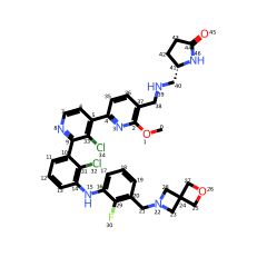 COc1nc(-c2ccnc(-c3cccc(Nc4cccc(CN5CC6(COC6)C5)c4F)c3Cl)c2Cl)ccc1CNC[C@@H]1CCC(=O)N1